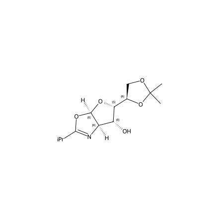 CC(C)C1=N[C@H]2[C@@H](O1)O[C@H]([C@H]1COC(C)(C)O1)[C@@H]2O